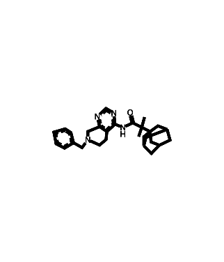 CC(C)(C(=O)Nc1ncnc2c1CCN(Cc1ccccc1)C2)C12CC3CC(CC(C3)C1)C2